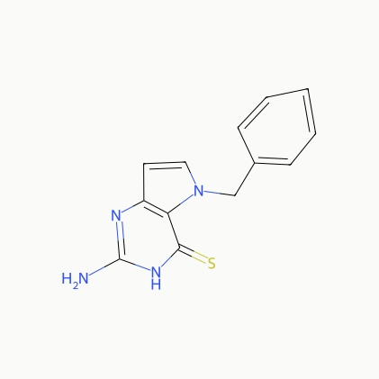 Nc1nc2ccn(Cc3ccccc3)c2c(=S)[nH]1